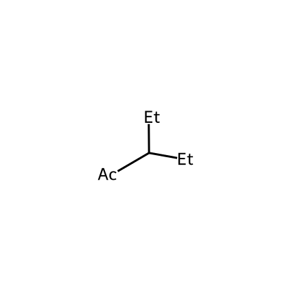 [CH2]CC(CC)C([CH2])=O